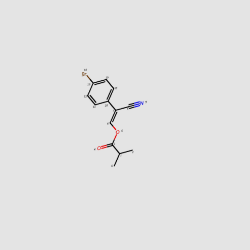 CC(C)C(=O)O/C=C(\C#N)c1ccc(Br)cc1